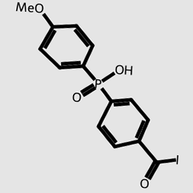 COc1ccc(P(=O)(O)c2ccc(C(=O)I)cc2)cc1